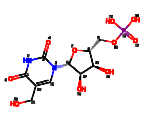 O=c1[nH]c(=O)n([C@@H]2O[C@H](COP(=O)(O)O)[C@@H](O)[C@H]2O)cc1CO